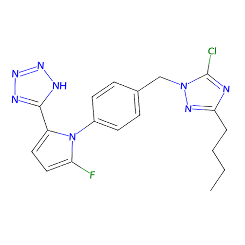 CCCCc1nc(Cl)n(Cc2ccc(-n3c(F)ccc3-c3nnn[nH]3)cc2)n1